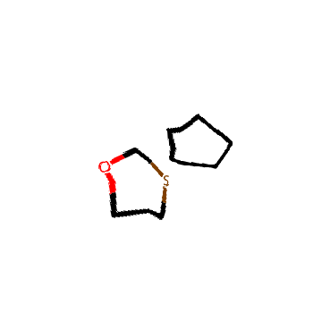 C1CCCC1.C1CSCO1